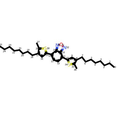 CCCCCCCCc1cc(-c2ccc(-c3cc(CCCCCCCC)c(C)s3)c3nonc23)sc1C